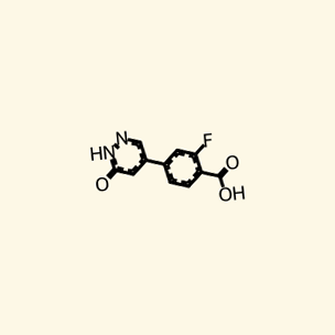 O=C(O)c1ccc(-c2cn[nH]c(=O)c2)cc1F